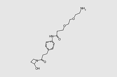 NCCOCCOCCC(=O)Nc1ccc(CCC(=O)N2CCC2O)cc1